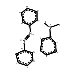 CN(C)c1ccccc1.c1ccc(/N=N/c2ccccc2)cc1